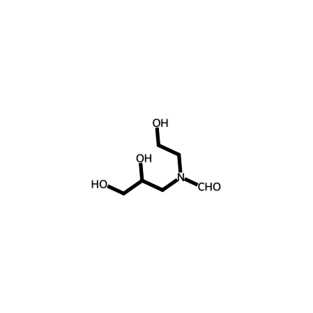 O=CN(CCO)CC(O)CO